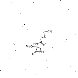 COC1(NC(=O)CSCC#N)CNC1=O